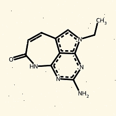 CCn1cc2c3c(nc(N)nc31)NC(=O)C=C2